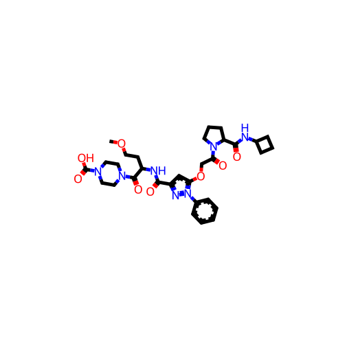 COCCC(NC(=O)c1cc(OCC(=O)N2CCCC2C(=O)NC2CCC2)n(-c2ccccc2)n1)C(=O)N1CCN(C(=O)O)CC1